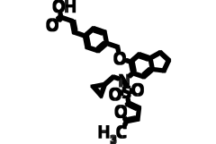 Cc1ccc(S(=O)(=O)N(CC2CC2)c2cc3c(cc2OCc2ccc(C=CC(=O)O)cc2)CCC3)o1